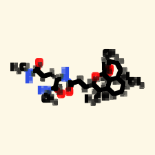 CNC(=O)CC[C@H](NC(=O)CC[C@H]1O[C@@H]2O[C@]3(C)CC[C@H]4[C@H](C)CC[C@@H]([C@H]1C)[C@@]24OO3)C(=O)NC